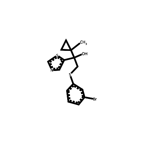 CC1(C(O)(CSc2cccc(Br)c2)c2cncs2)CC1